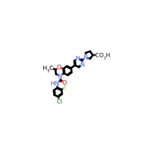 CC1CN(C(=O)Nc2ccc(Cl)cc2F)c2ccc(-c3cnc(N4CCC(C(=O)O)C4)nc3)cc2O1